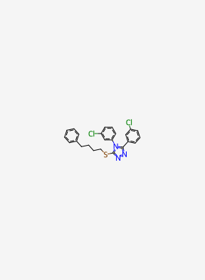 Clc1cccc(-c2nnc(SCCCCc3ccccc3)n2-c2cccc(Cl)c2)c1